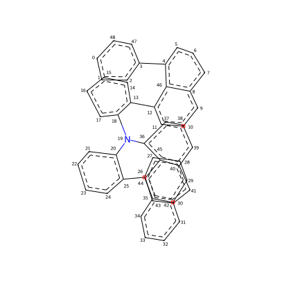 c1ccc(-c2cccc3cccc(-c4ccccc4N(c4ccccc4-c4cccc5ccccc45)c4cccc5ccccc45)c23)cc1